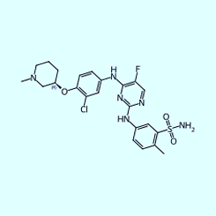 Cc1ccc(Nc2ncc(F)c(Nc3ccc(O[C@@H]4CCCN(C)C4)c(Cl)c3)n2)cc1S(N)(=O)=O